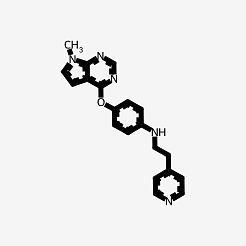 Cn1ccc2c(Oc3ccc(NCCc4ccncc4)cc3)ncnc21